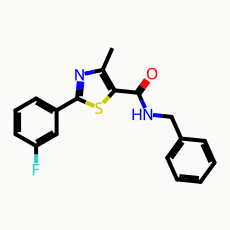 Cc1nc(-c2cccc(F)c2)sc1C(=O)NCc1ccccc1